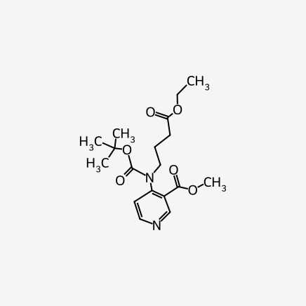 CCOC(=O)CCCN(C(=O)OC(C)(C)C)c1ccncc1C(=O)OC